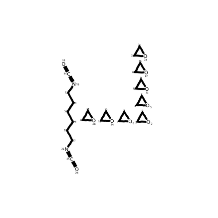 C1CO1.C1CO1.C1CO1.C1CO1.C1CO1.C1CO1.C1CO1.C1CO1.O=C=NCCCCCCN=C=O